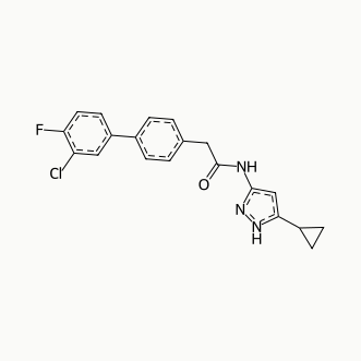 O=C(Cc1ccc(-c2ccc(F)c(Cl)c2)cc1)Nc1cc(C2CC2)[nH]n1